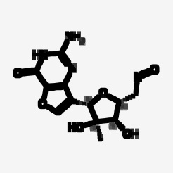 C[C@@]1(O)[C@H](O)[C@@H](CN=O)O[C@H]1c1coc2c(=O)[nH]c(N)nc12